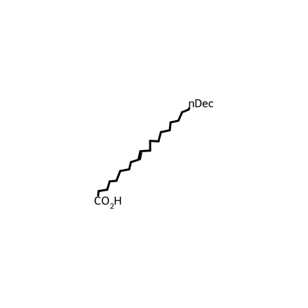 CCCCCCCCCCCCCCCCCCCC=CCCCCCCCC(=O)O